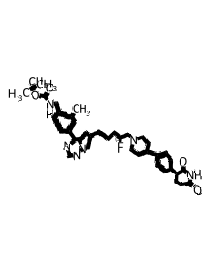 Cc1cc(-c2ncnn3cc(CCC[C@H](F)CN4CCC(c5ccc(C6CCC(=O)NC6=O)cc5)CC4)cc23)ccc1CNC(=O)OC(C)(C)C